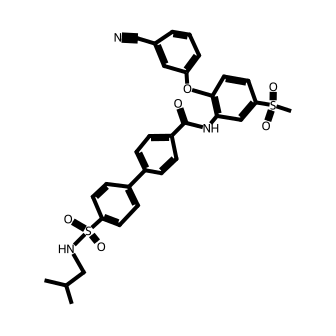 CC(C)CNS(=O)(=O)c1ccc(-c2ccc(C(=O)Nc3cc(S(C)(=O)=O)ccc3Oc3cccc(C#N)c3)cc2)cc1